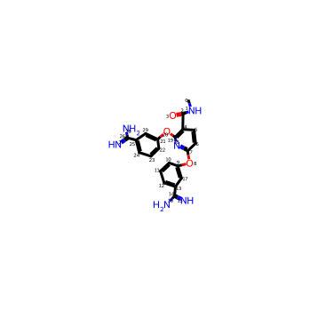 CNC(=O)c1ccc(Oc2cccc(C(=N)N)c2)nc1Oc1cccc(C(=N)N)c1